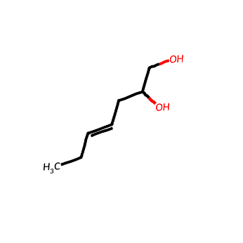 CC/C=C/CC(O)CO